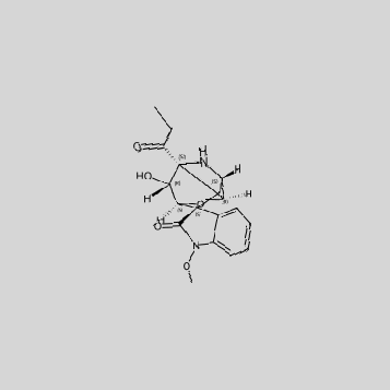 CCC(=O)[C@]12N[C@H]3C[C@@]4(C(=O)N(OC)c5ccccc54)[C@H](OC[C@H]31)[C@@H]2O